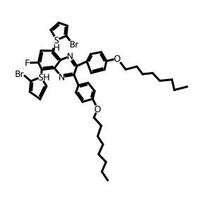 CCCCCCCCOc1ccc(-c2nc3c([SH]4C=CC=C4Br)cc(F)c([SH]4C=CC=C4Br)c3nc2-c2ccc(OCCCCCCCC)cc2)cc1